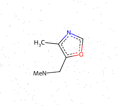 CNCc1ocnc1C